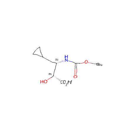 CC(C)(C)OC(=O)N[C@@H](C1CC1)[C@@H](O)C(=O)O